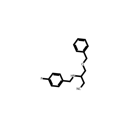 N#CCC(COCc1ccccc1)NCc1ccc(F)cc1